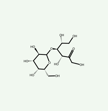 O=C(CO)[C@H](O)[C@@H](OC1O[C@H](CO)[C@H](O)[C@H](O)[C@H]1O)[C@H](O)CO